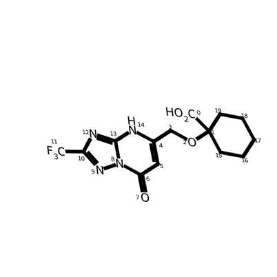 O=C(O)C1(OCc2cc(=O)n3nc(C(F)(F)F)nc3[nH]2)CCCCC1